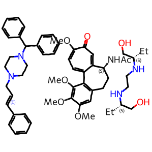 C(=C\c1ccccc1)/CN1CCN(C(c2ccccc2)c2ccccc2)CC1.CC[C@@H](CO)NCCN[C@@H](CC)CO.COc1cc2c(c(OC)c1OC)-c1ccc(OC)c(=O)cc1[C@@H](NC(C)=O)CC2